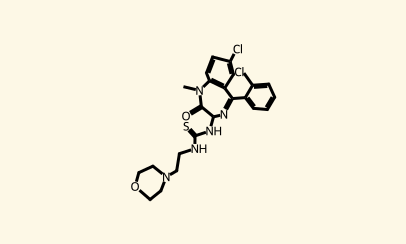 CN1C(=O)C(NC(=S)NCCN2CCOCC2)N=C(c2ccccc2Cl)c2cc(Cl)ccc21